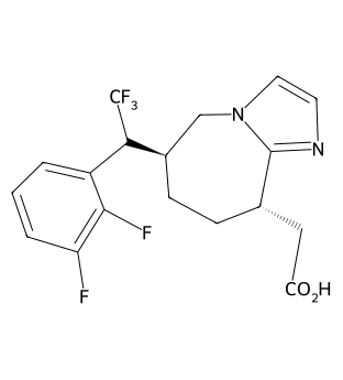 O=C(O)C[C@@H]1CC[C@@H](C(c2cccc(F)c2F)C(F)(F)F)Cn2ccnc21